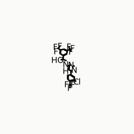 OC(CNc1cc(-c2ccc(C(F)(F)F)c(Cl)c2)ncn1)c1cc(C(F)(F)F)cc(C(F)(F)F)c1